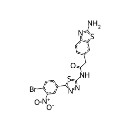 Nc1nc2ccc(CC(=O)Nc3nnc(-c4ccc(Br)c([N+](=O)[O-])c4)s3)cc2s1